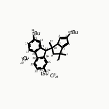 CC(C)(C)C1=CC2C(=C1)C(C)(C)CC2(C)C1c2cc(C(C)(C)C)ccc2-c2ccc(C(C)(C)C)cc21.[Cl-].[Cl-].[Ti+2]